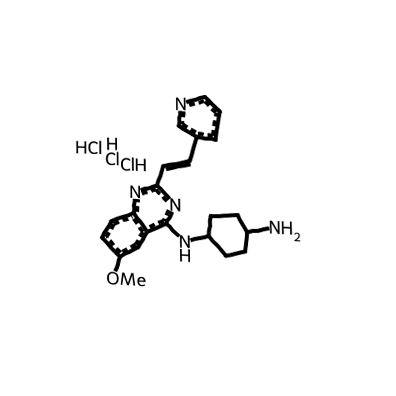 COc1ccc2nc(C=Cc3cccnc3)nc(NC3CCC(N)CC3)c2c1.Cl.Cl.Cl